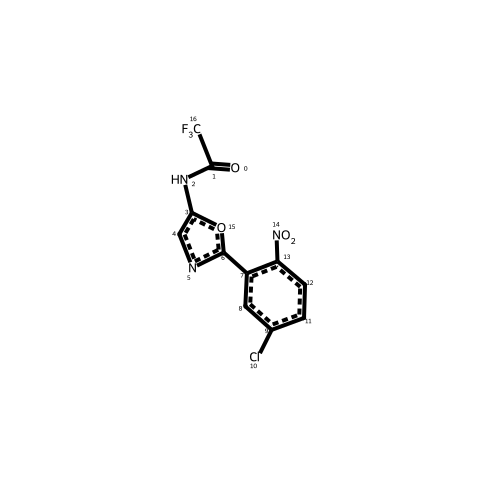 O=C(Nc1cnc(-c2cc(Cl)ccc2[N+](=O)[O-])o1)C(F)(F)F